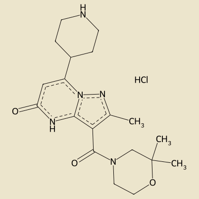 Cc1nn2c(C3CCNCC3)cc(=O)[nH]c2c1C(=O)N1CCOC(C)(C)C1.Cl